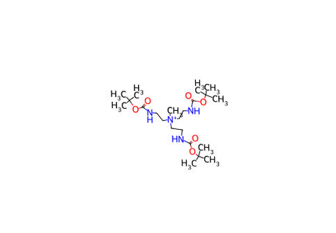 CC(C)(C)OC(=O)NCC[N+](C)(CCNC(=O)OC(C)(C)C)CCNC(=O)OC(C)(C)C